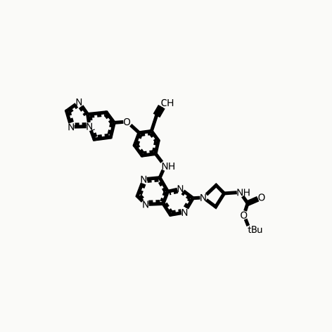 C#Cc1cc(Nc2ncnc3cnc(N4CC(NC(=O)OC(C)(C)C)C4)nc23)ccc1Oc1ccn2ncnc2c1